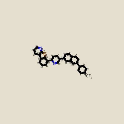 FC(F)(F)c1ccc(-c2ccc3ccc(-c4ccc(-c5cccc6c5sc5ncccc56)nc4)cc3c2)cc1